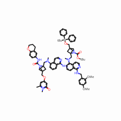 COc1ccc(CNc2nccc3c(N(C)CC45CC(CO[Si](c6ccccc6)(c6ccccc6)C(C)(C)C)(CN4C(=O)OC(C)(C)C)C5)cccc23)c(OC)c1.Cc1cc(OCC23CN(C(=O)Nc4ccc5c(c4)CCCO5)C(CN(C)c4cccc5c(N)nccc45)(C2)C3)cc(=O)n1C